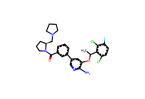 CC(Oc1cc(-c2cccc(C(=O)N3CCC[C@H]3CN3CCCC3)c2)cnc1N)c1c(Cl)ccc(F)c1Cl